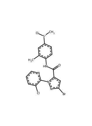 Cc1cc([S+](C)[O-])ccc1NC(=O)c1cc(Br)nn1-c1ncccc1Cl